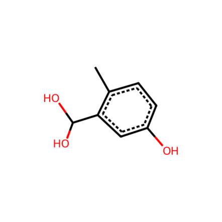 Cc1ccc(O)cc1C(O)O